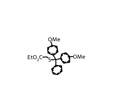 CCOC(=O)CSC(c1ccccc1)(c1ccc(OC)cc1)c1ccc(OC)cc1